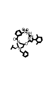 Cc1cccc(C)c1-c1cc2nc(n1)NS(=O)(=O)c1cccc(c1)C(=O)N1CC(CN(Cc3ccccc3)[C@@H](CC(C)C)C1)O2